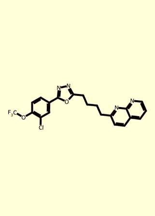 FC(F)(F)Oc1ccc(-c2nnc(CCCCc3ccc4cccnc4n3)o2)cc1Cl